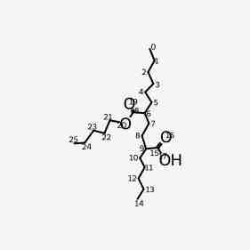 CCCCCCC(CCC(CCCCC)C(=O)O)C(=O)OCCCCC